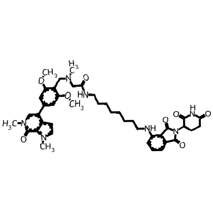 COc1cc(-c2cn(C)c(=O)c3c2ccn3C)cc(OC)c1CN(C)CC(=O)NCCCCCCCCNc1cccc2c1C(=O)N(C1CCC(=O)NC1=O)C2=O